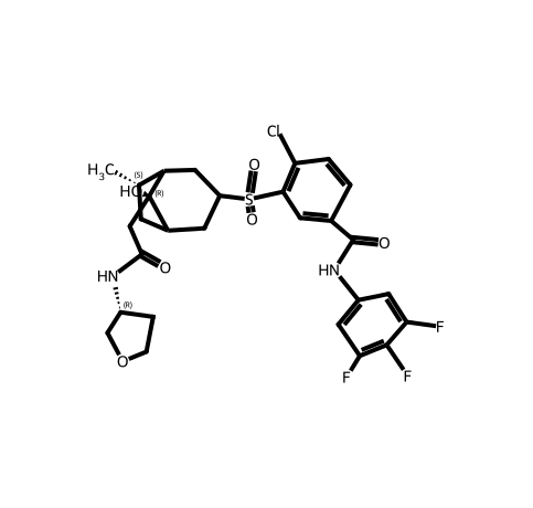 C[C@H]1CC2CC(S(=O)(=O)c3cc(C(=O)Nc4cc(F)c(F)c(F)c4)ccc3Cl)CC1[C@@]2(O)CC(=O)N[C@@H]1CCOC1